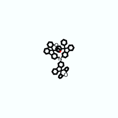 c1ccc(C2(c3ccccc3)c3ccccc3-c3ccc(N(c4ccc5c(c4)-c4ccccc4C54c5ccccc5Oc5ccccc54)c4ccc5c(c4)C4(c6ccccc6Oc6ccccc64)c4ccccc4-5)cc32)cc1